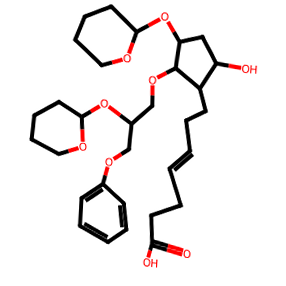 O=C(O)CC/C=C/CCC1C(O)CC(OC2CCCCO2)C1OCC(COc1ccccc1)OC1CCCCO1